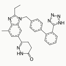 CCc1nc2c(C)cc(C3=NNC(=O)CC3)cc2n1Cc1ccc(-c2ccccc2-c2nnn[nH]2)cc1